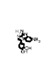 Nc1ccc2c(c1)nc(N)c1ncc(-c3ccc(O)c(O)c3)n12